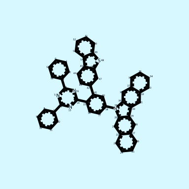 c1ccc(-c2nc(-c3ccccc3)nc(-c3ccc(-n4c5cc6ccccc6cc5c5cc6ccccc6cc54)cc3-c3ccc4c(c3)sc3ccccc34)n2)cc1